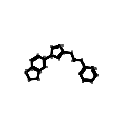 c1ccc(COCc2cn(-c3ccc4c(c3)CCO4)cn2)nc1